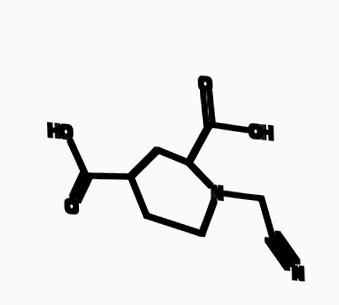 N#CCN1CCC(C(=O)O)CC1C(=O)O